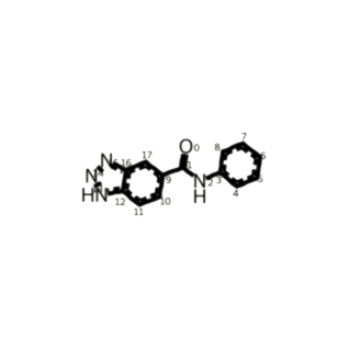 O=C(Nc1ccccc1)c1ccc2[nH]nnc2c1